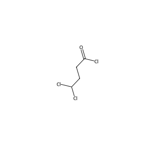 O=C(Cl)CCC(Cl)Cl